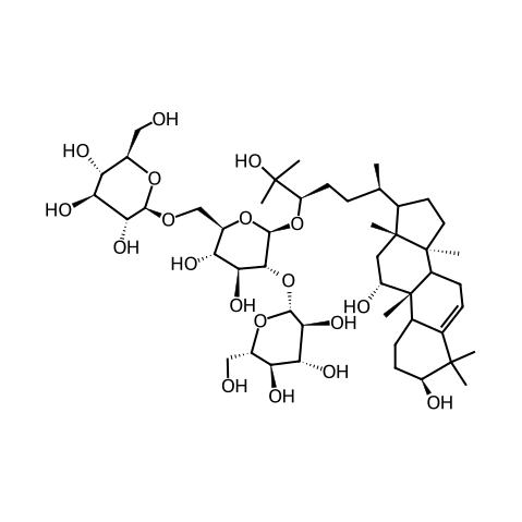 C[C@H](CC[C@@H](O[C@@H]1O[C@H](CO[C@@H]2O[C@H](CO)[C@@H](O)[C@H](O)[C@H]2O)[C@@H](O)[C@H](O)[C@H]1O[C@H]1O[C@@H](CO)[C@H](O)[C@@H](O)[C@@H]1O)C(C)(C)O)C1CC[C@@]2(C)C3CC=C4C(CC[C@H](O)C4(C)C)[C@]3(C)[C@H](O)C[C@]12C